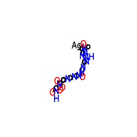 CC(=O)c1c(C)c2cnc(Nc3ccc(N4CCN(C(=O)N5CCN(C6CCN(c7ccc8c(c7)C(=O)N(C7CCC(=O)NC7=O)C8=O)CC6)CC5)CC4)cn3)nc2n(C2CCCC2)c1=O